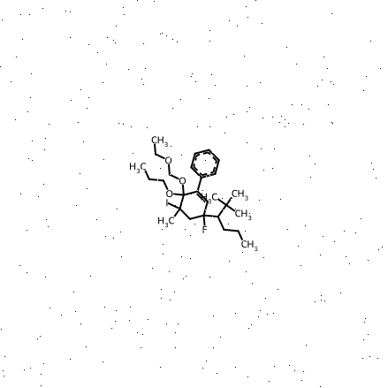 CCCOC1(OCOCC)C(c2ccccc2)=CC(F)(C(CCC)C(C)(C)C)CC1(C)I